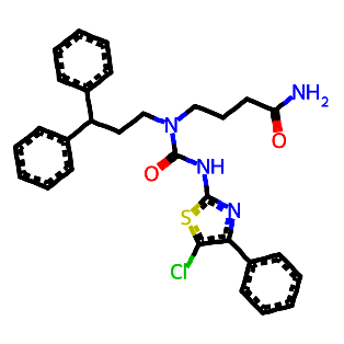 NC(=O)CCCN(CCC(c1ccccc1)c1ccccc1)C(=O)Nc1nc(-c2ccccc2)c(Cl)s1